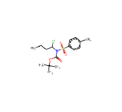 CCCC(Cl)N(C(=O)OC(C)(C)C)S(=O)(=O)c1ccc(C)cc1